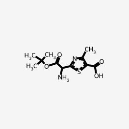 Cc1nc(C(N)C(=O)OC(C)(C)C)sc1C(=O)O